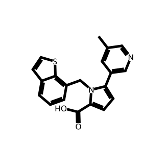 Cc1cncc(-c2ccc(C(=O)O)n2Cc2cccc3ccsc23)c1